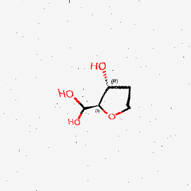 OC(O)[C@@H]1OCC[C@H]1O